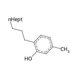 CCCCCCCCCCc1ccc(C)cc1O